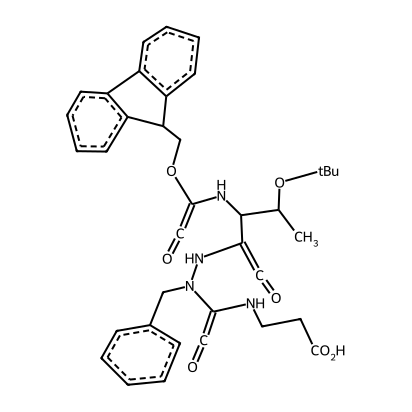 CC(OC(C)(C)C)C(NC(=C=O)OCC1c2ccccc2-c2ccccc21)C(=C=O)NN(Cc1ccccc1)C(=C=O)NCCC(=O)O